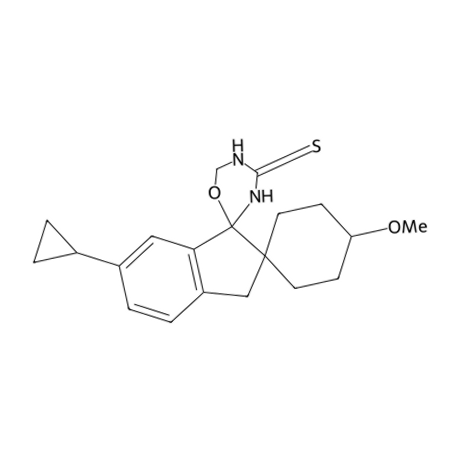 COC1CCC2(CC1)Cc1ccc(C3CC3)cc1C21NC(=S)NCO1